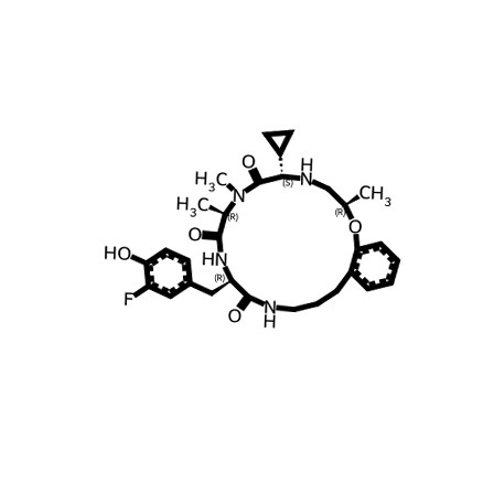 C[C@@H]1CN[C@@H](C2CC2)C(=O)N(C)[C@H](C)C(=O)N[C@H](Cc2ccc(O)c(F)c2)C(=O)NCCCc2ccccc2O1